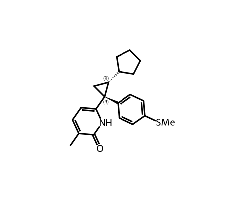 CSc1ccc([C@@]2(c3ccc(C)c(=O)[nH]3)C[C@@H]2C2CCCC2)cc1